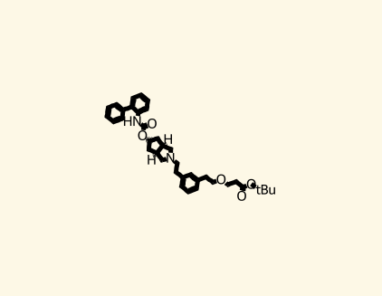 CC(C)(C)OC(=O)CCOCCc1cccc(CCN2C[C@H]3C[C@@H](OC(=O)Nc4ccccc4-c4ccccc4)C[C@H]3C2)c1